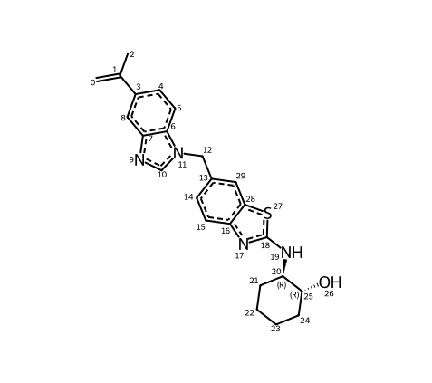 C=C(C)c1ccc2c(c1)ncn2Cc1ccc2nc(N[C@@H]3CCCC[C@H]3O)sc2c1